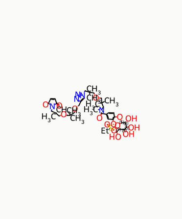 CCS(=O)(=O)Oc1cc(C(=O)N(C)CC(C)(C)COCC(C)(C)Cn2cc(COCC(C)(C)COCC(C)(C)CN3C(=O)C=CC3=O)nn2)ccc1O[C@@H]1O[C@H](CO)[C@H](O)[C@H](O)[C@H]1O